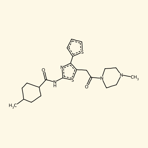 CC1CCC(C(=O)Nc2nc(-c3cccs3)c(CC(=O)N3CCN(C)CC3)s2)CC1